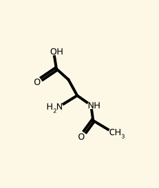 CC(=O)NC(N)CC(=O)O